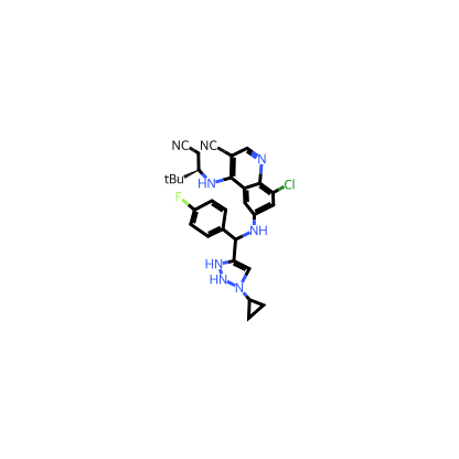 CC(C)(C)[C@@H](CC#N)Nc1c(C#N)cnc2c(Cl)cc(NC(C3=CN(C4CC4)NN3)c3ccc(F)cc3)cc12